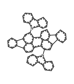 c1ccc2c(c1)-c1ccc3c4c(-n5c6ccccc6c6ccccc65)cc5c6c(ccc(c7c(-n8c9ccccc9c9ccccc98)cc-2c1c37)c64)-c1ccccc1-5